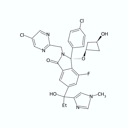 CCC(O)(c1cc(F)c2c(c1)C(=O)N(Cc1ncc(Cl)cn1)[C@@]2(O[C@H]1C[C@@H](O)C1)c1ccc(Cl)cc1)c1cn(C)cn1